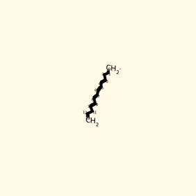 [CH2]CC/C=C/C=C/C=C/C=C/CC=C